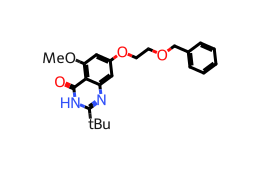 COc1cc(OCCOCc2ccccc2)cc2nc(C(C)(C)C)[nH]c(=O)c12